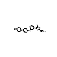 CNc1nc(C)c(-c2ccnc(Nc3ccc(N4CCNCC4)cn3)c2)s1